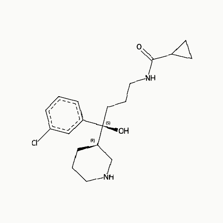 O=C(NCCC[C@@](O)(c1cccc(Cl)c1)[C@@H]1CCCNC1)C1CC1